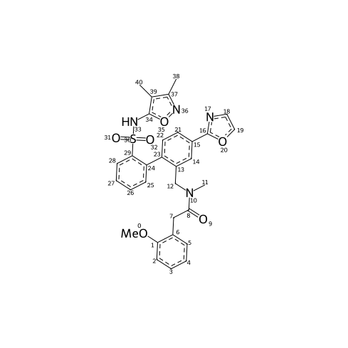 COc1ccccc1CC(=O)N(C)Cc1cc(-c2ncco2)ccc1-c1ccccc1S(=O)(=O)Nc1onc(C)c1C